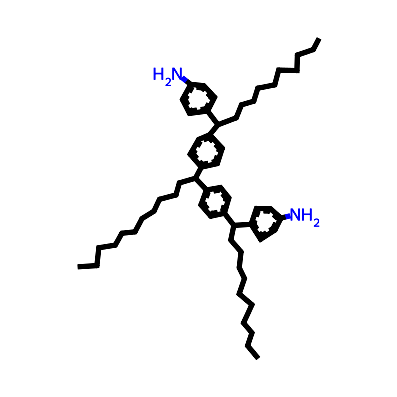 CCCCCCCCCCCC(c1ccc(C(CCCCCCCCCC)c2ccc(N)cc2)cc1)c1ccc(C(CCCCCCCCCC)c2ccc(N)cc2)cc1